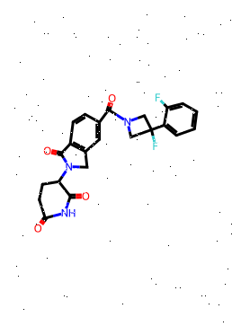 O=C1CCC(N2Cc3cc(C(=O)N4CC(F)(c5ccccc5F)C4)ccc3C2=O)C(=O)N1